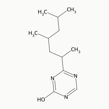 CC(C)CC(C)CC(C)c1ncnc(O)n1